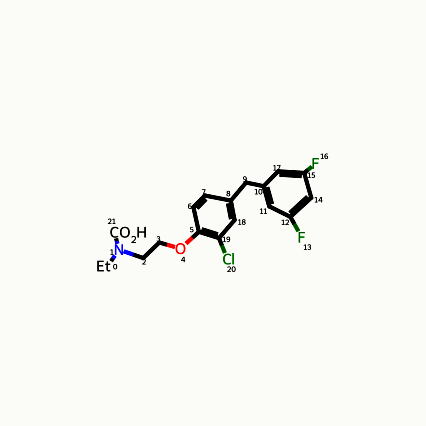 CCN(CCOc1ccc(Cc2cc(F)cc(F)c2)cc1Cl)C(=O)O